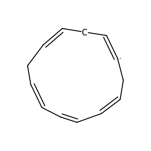 [C]1=CCC=CCC=CC=CC=CC1